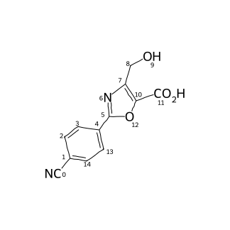 N#Cc1ccc(-c2nc(CO)c(C(=O)O)o2)cc1